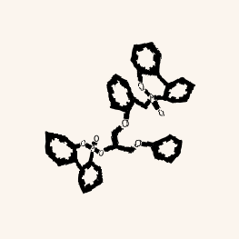 O=P1(Cc2ccccc2OCC(COc2ccccc2)OP2(=O)Oc3ccccc3-c3ccccc32)Oc2ccccc2-c2ccccc21